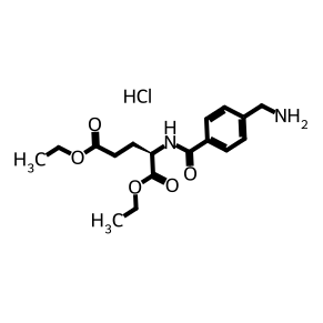 CCOC(=O)CC[C@@H](NC(=O)c1ccc(CN)cc1)C(=O)OCC.Cl